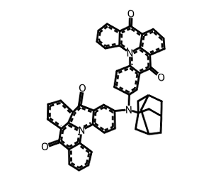 O=c1c2ccccc2n2c3ccc(N(c4ccc5c(c4)c(=O)c4cccc6c(=O)c7ccccc7n5c64)C45CC6CC(CC(C6)C4)C5)cc3c(=O)c3cccc1c32